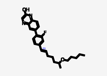 CCCCCOC(C)CCC/C=C/c1ccc(-c2ccc3nc(O)cnc3c2)c(F)c1